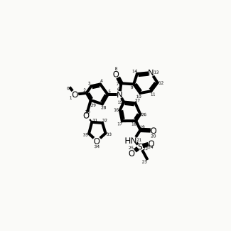 COc1ccc(N(C(=O)c2cccnc2)c2ccc(C(=O)NS(C)(=O)=O)cc2)cc1O[C@@H]1CCOC1